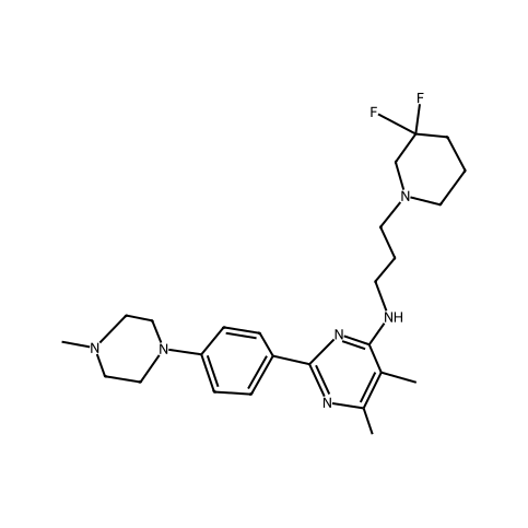 Cc1nc(-c2ccc(N3CCN(C)CC3)cc2)nc(NCCCN2CCCC(F)(F)C2)c1C